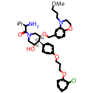 COCCCN1CCOc2ccc(CO[C@H]3CN(C(=O)C(N)C(C)C)C[C@@H](O)[C@@H]3c3ccc(OCCCOc4ccccc4Cl)cc3)cc21